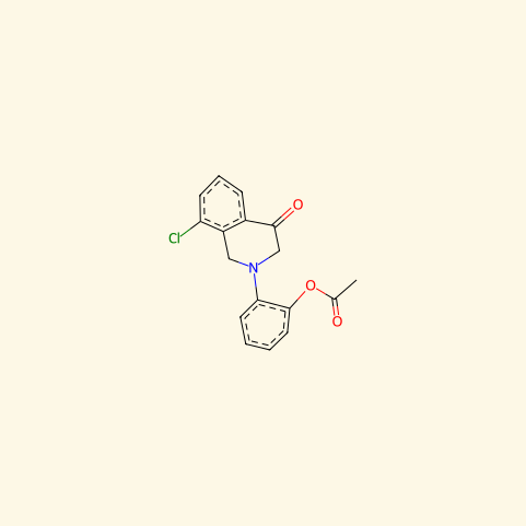 CC(=O)Oc1ccccc1N1CC(=O)c2cccc(Cl)c2C1